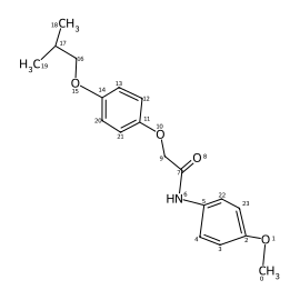 COc1ccc(NC(=O)COc2ccc(OCC(C)C)cc2)cc1